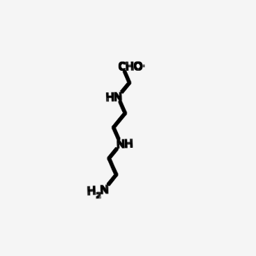 NCCNCCNC[C]=O